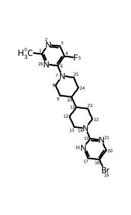 Cc1ncc(F)c(N2CCC(C3CCN(c4ncc(Br)cn4)CC3)CC2)n1